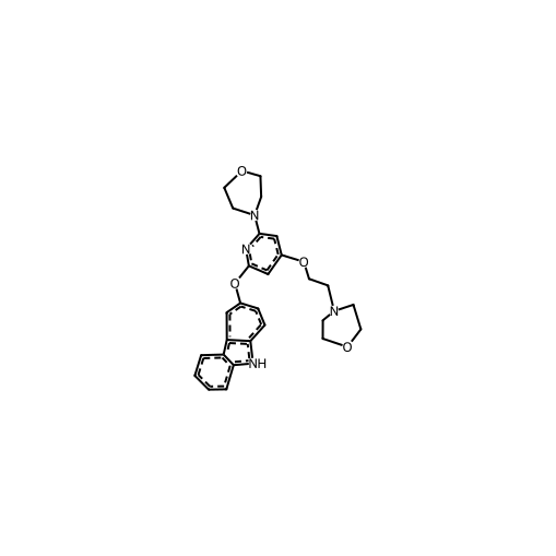 c1ccc2c(c1)[nH]c1ccc(Oc3cc(OCCN4CCOCC4)cc(N4CCOCC4)n3)cc12